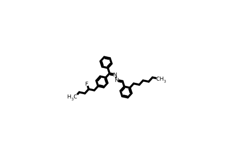 CCCCCCc1ccccc1C=NN=C(c1ccccc1)c1ccc(CC(F)CCC)cc1